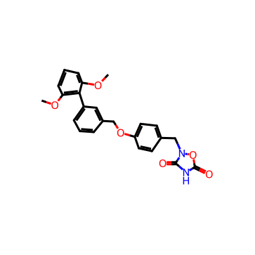 COc1cccc(OC)c1-c1cccc(COc2ccc(Cn3oc(=O)[nH]c3=O)cc2)c1